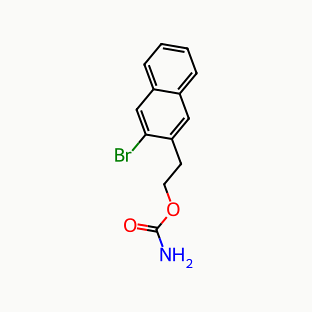 NC(=O)OCCc1cc2ccccc2cc1Br